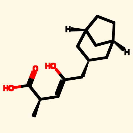 C[C@H](C=C(O)C[C@@H]1C[C@@H]2CC[C@@H](C2)C1)C(=O)O